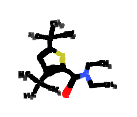 CCN(CC)C(=O)c1sc([Si](C)(C)C)cc1[Si](C)(C)C